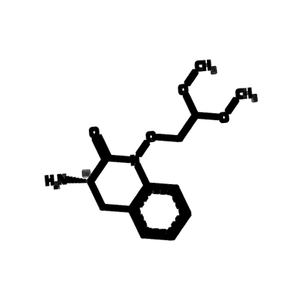 COC(CON1C(=O)[C@@H](N)Cc2ccccc21)OC